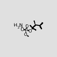 COP(=O)(ON)OC(C)(C)[C@@H](C)C(C)C